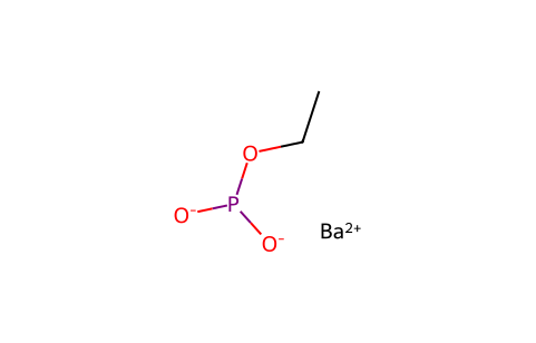 CCOP([O-])[O-].[Ba+2]